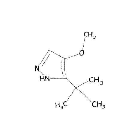 COc1cn[nH]c1C(C)(C)C